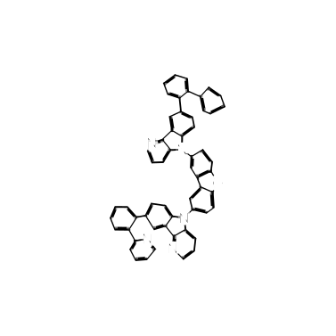 c1ccc(-c2ccccc2-c2ccc3c(c2)c2ncccc2n3-c2ccc3oc4ccc(-n5c6ccc(-c7ccccc7-c7ccccn7)cc6c6ncccc65)cc4c3c2)cc1